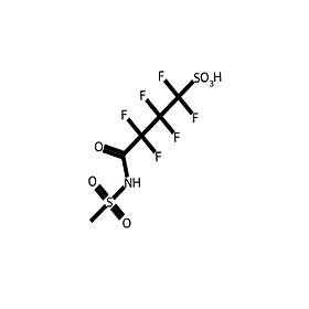 CS(=O)(=O)NC(=O)C(F)(F)C(F)(F)C(F)(F)S(=O)(=O)O